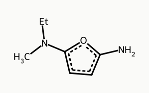 CCN(C)c1ccc(N)o1